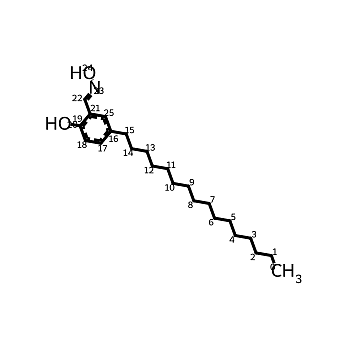 CCCCCCCCCCCCCCCCc1ccc(O)c(C=NO)c1